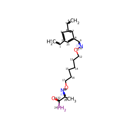 C=Cc1cc(C=C)cc(/C=N\OCCCCCCO/N=C(\C)C(=O)P)c1